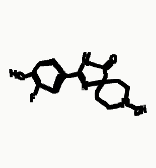 O=C1NC(c2ccc(O)c(F)c2)=NC12CCN(O)CC2